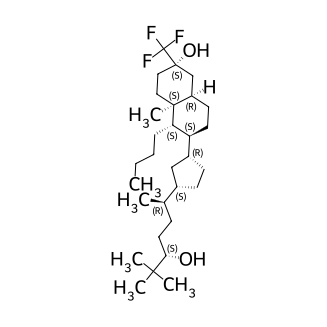 CCCC[C@H]1[C@H]([C@@H]2CC[C@H]([C@H](C)CC[C@H](O)C(C)(C)C)C2)CC[C@@H]2C[C@](O)(C(F)(F)F)CC[C@@]21C